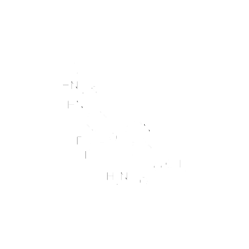 COc1cc2nccc(Oc3ccc(NC(=S)NC4CC4)cc3C(F)(F)F)c2cc1C(N)=O